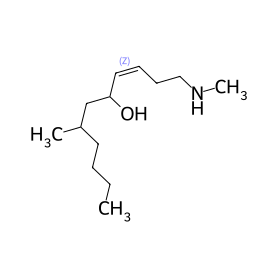 CCCCC(C)CC(O)/C=C\CCNC